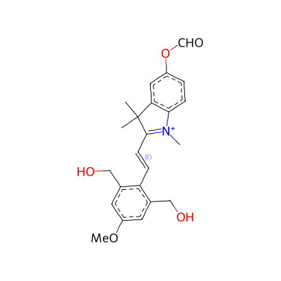 COc1cc(CO)c(/C=C/C2=[N+](C)c3ccc(OC=O)cc3C2(C)C)c(CO)c1